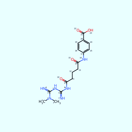 CN(C)C(=N)NC(=N)NC(=O)CCCC(=O)Nc1ccc(C(=O)O)cc1